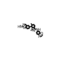 CNc1ncc2cc(-c3c(C)ccc4c(Nc5ccc6c(c5)OCCN6C)nn(C)c34)ccc2n1